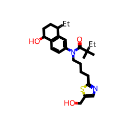 CCC1CCC(O)c2ccc(N(CCCCc3ncc(CO)s3)C(=O)C(C)(C)CC)cc21